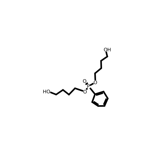 O=P(OCCCCO)(OCCCCO)c1ccccc1